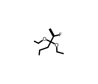 C=C(F)C(CCC)(OCC)OCC